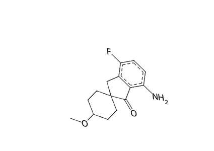 COC1CCC2(CC1)Cc1c(F)ccc(N)c1C2=O